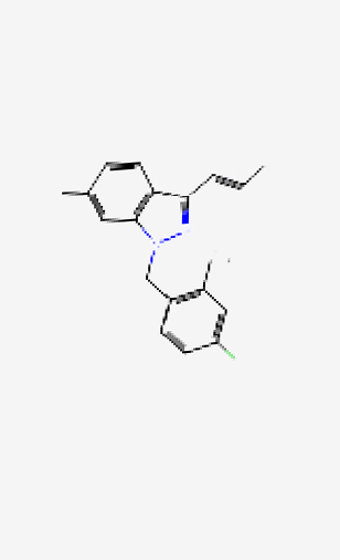 Cc1ccc2c(/C=C/C(=O)O)nn(Cc3ccc(Cl)cc3C)c2c1